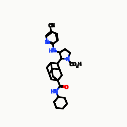 N#Cc1ccc(NC2CCN(C(=O)O)C2C2C3CC4CC2CC(C(=O)NC2CCCCC2)(C4)C3)nc1